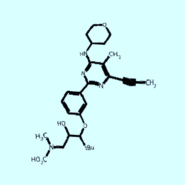 CC#Cc1nc(-c2cccc(OC(C(O)CN(C)C(=O)O)C(C)(C)C)c2)nc(NC2CCOCC2)c1C